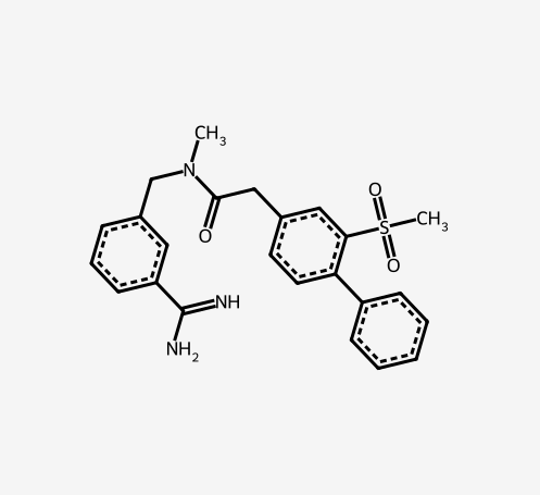 CN(Cc1cccc(C(=N)N)c1)C(=O)Cc1ccc(-c2ccccc2)c(S(C)(=O)=O)c1